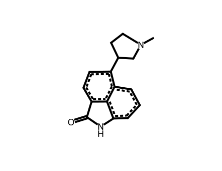 CN1CCC(c2ccc3c4c(cccc24)NC3=O)C1